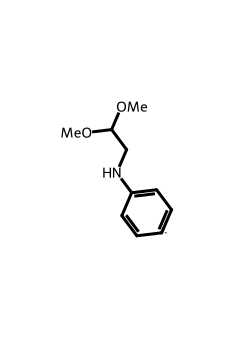 COC(CNc1cc[c]cc1)OC